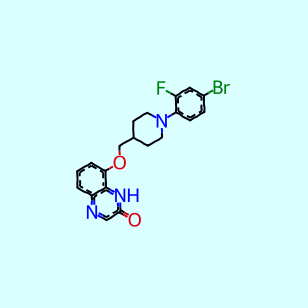 O=c1cnc2cccc(OCC3CCN(c4ccc(Br)cc4F)CC3)c2[nH]1